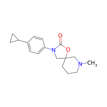 CN1CCCC2(C1)CN(c1ccc(C3CC3)cc1)C(=O)O2